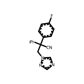 CC(C)C(C#N)(Cn1cncn1)c1ccc(F)cc1